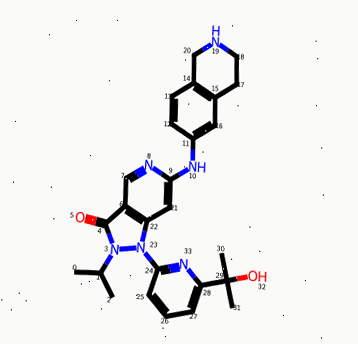 CC(C)n1c(=O)c2cnc(Nc3ccc4c(c3)CCNC4)cc2n1-c1cccc(C(C)(C)O)n1